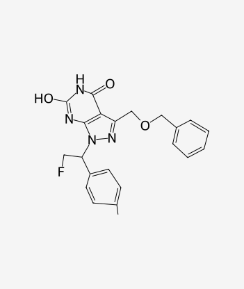 Cc1ccc(C(CF)n2nc(COCc3ccccc3)c3c(=O)[nH]c(O)nc32)cc1